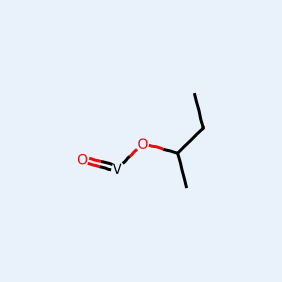 CCC(C)[O][V]=[O]